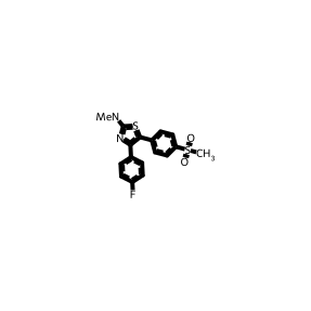 CNc1nc(-c2ccc(F)cc2)c(-c2ccc(S(C)(=O)=O)cc2)s1